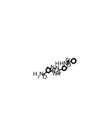 CCCn1c(NC(=O)c2cccc(NS(=O)(=O)c3ccccc3)c2)nc2ccc(C(N)=O)cc21